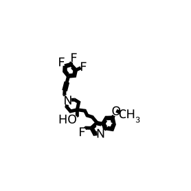 COc1ccc2ncc(CF)c(CCCC3(CO)CCN(CC#Cc4cc(F)c(F)c(F)c4)CC3)c2c1